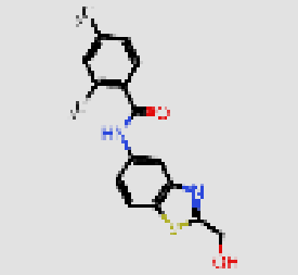 O=C(Nc1ccc2sc(CO)nc2c1)c1ccc(C(F)(F)F)cc1C(F)(F)F